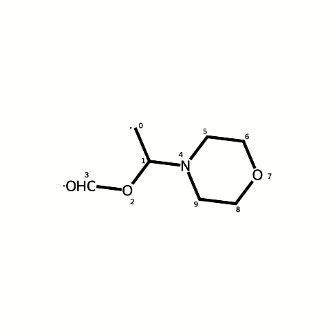 [CH2]C(O[C]=O)N1CCOCC1